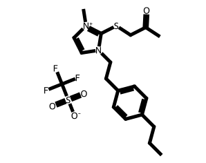 CCCc1ccc(CCn2cc[n+](C)c2SCC(C)=O)cc1.O=S(=O)([O-])C(F)(F)F